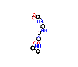 O=C(CCN1CCC(OC(=O)Nc2ccccc2-c2ccccc2)CC1)Nc1ccc(CNCc2ccc3c(c2)OCO3)cc1